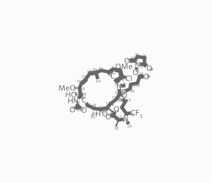 COc1cc2cc(c1Cl)N(C)C(=O)C[C@H](OC(=O)[C@H](C)N(C)C(CCSSCCCC(=O)ON1C(=O)CCC1=O)C(F)(F)F)[C@]1(C)O[C@H]1[C@H](C)C1C[C@@](O)(NC(=O)O1)[C@H](OC)/C=C/C=C(\C)C2